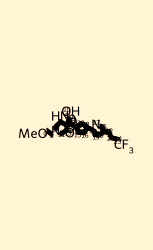 COCCN1CCC(C(=O)NO)(S(=O)(=O)c2ccc(-c3ccc(CCCC(F)(F)F)cn3)cc2)CC1